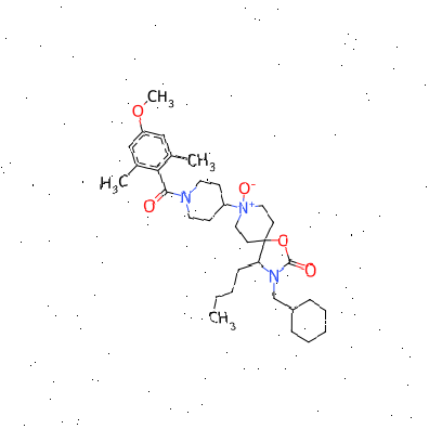 CCCCC1N(CC2CCCCC2)C(=O)OC12CC[N+]([O-])(C1CCN(C(=O)c3c(C)cc(OC)cc3C)CC1)CC2